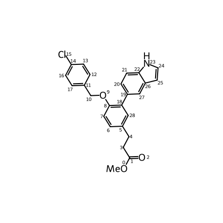 COC(=O)CCc1ccc(OCc2ccc(Cl)cc2)c(-c2ccc3[nH]ccc3c2)c1